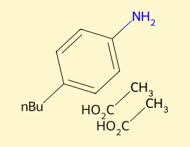 CC(=O)O.CC(=O)O.CCCCc1ccc(N)cc1